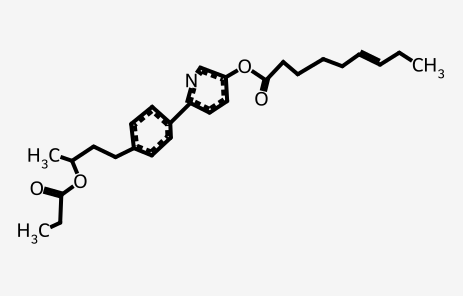 CCC=CCCCCC(=O)Oc1ccc(-c2ccc(CCC(C)OC(=O)CC)cc2)nc1